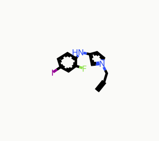 C#CCn1ccc(Nc2ccc(I)cc2F)c1